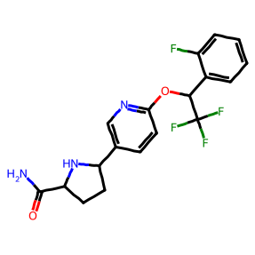 NC(=O)C1CCC(c2ccc(OC(c3ccccc3F)C(F)(F)F)nc2)N1